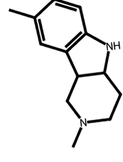 Cc1ccc2c(c1)C1CN(C)CCC1N2